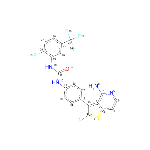 Cc1sc2ccnc(N)c2c1-c1ccc(NC(=O)Nc2cc(C(F)(F)F)ccc2F)cc1